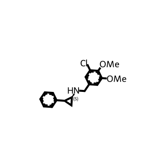 COc1cc(CN[C@H]2CC2c2ccccc2)cc(Cl)c1OC